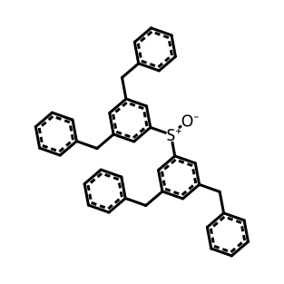 [O-][S+](c1cc(Cc2ccccc2)cc(Cc2ccccc2)c1)c1cc(Cc2ccccc2)cc(Cc2ccccc2)c1